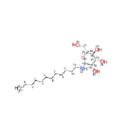 CCCCCCCCCCCCNC1O[C@H](CO)[C@@H](O)[C@H](O)[C@@H]1O